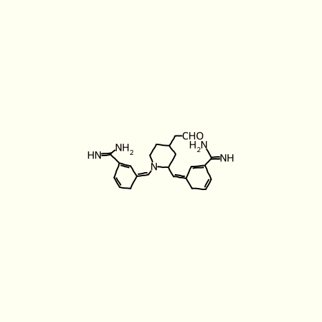 N=C(N)C1=C/C(=C\C2CC(CC=O)CCN2/C=C2\C=C(C(=N)N)C=CC2)CC=C1